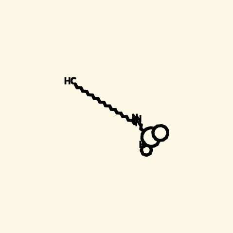 C#CCCCCCCCCCCCCCCCCCCCc1cn(CCC2CCC[C@@H]3CCCCCCC3CCC3CCCCCCCC(CCC3)CC2)nn1